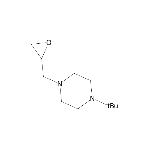 CC(C)(C)N1CCN(CC2CO2)CC1